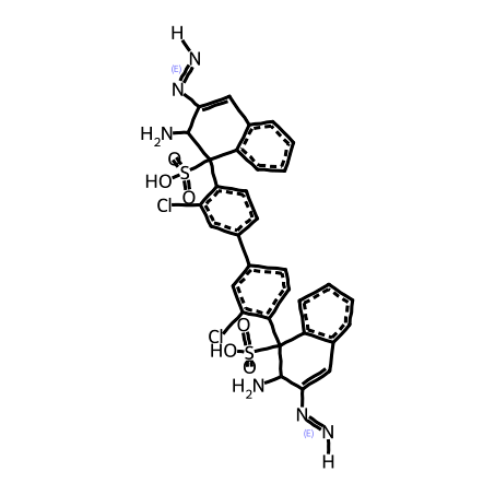 [H]/N=N/C1=Cc2ccccc2C(c2ccc(-c3ccc(C4(S(=O)(=O)O)c5ccccc5C=C(/N=N/[H])C4N)c(Cl)c3)cc2Cl)(S(=O)(=O)O)C1N